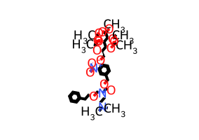 COC(=O)C(OC)C(OC(C)=O)C(OC(C)=O)[C@@H](COc1ccc(COC(=O)N(CCN(C)C)COCCc2ccccc2)cc1[N+](=O)[O-])OC(C)=O